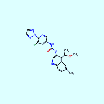 COC(C)c1c(NC(=O)Nc2cnc(-n3nccn3)c(Cl)c2)cnc2ccc(C)cc12